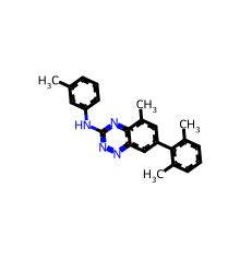 Cc1cccc(Nc2nnc3cc(-c4c(C)cccc4C)cc(C)c3n2)c1